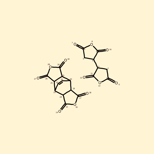 O=C1CC(C2CC(=O)OC2=O)C(=O)O1.O=C1OC(=O)C2C3C=CC(C12)C1C(=O)OC(=O)C31